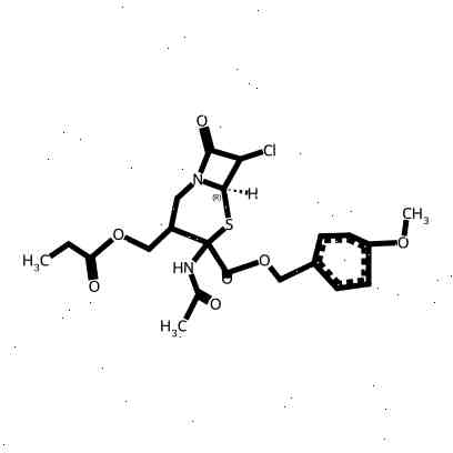 CCC(=O)OCC1CN2C(=O)C(Cl)[C@H]2SC1(NC(C)=O)C(=O)OCc1ccc(OC)cc1